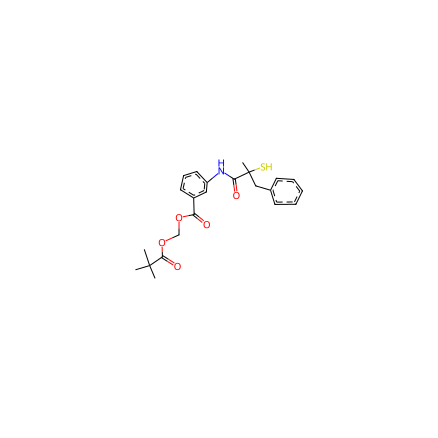 CC(C)(C)C(=O)OCOC(=O)c1cccc(NC(=O)C(C)(S)Cc2ccccc2)c1